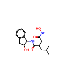 CC(C)CC(CC(=O)NO)C(=O)NC1c2ccccc2CC1O